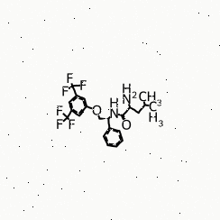 CC(C)CC(N)C(=O)N[C@H](COc1cc(C(F)(F)F)cc(C(F)(F)F)c1)c1ccccc1